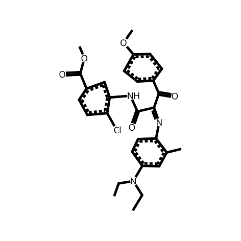 CCN(CC)c1ccc(N=C(C(=O)Nc2cc(C(=O)OC)ccc2Cl)C(=O)c2ccc(OC)cc2)c(C)c1